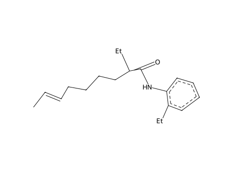 C/C=C/CCCCC(CC)C(=O)Nc1ccccc1CC